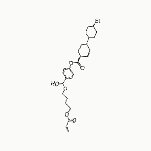 C=CC(=O)OCCCCOC(O)c1ccc(OC(=O)C2CCC(C3CCC(CC)CC3)CC2)cc1